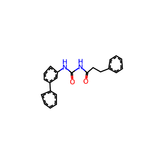 O=C(CCc1ccccc1)NC(=O)Nc1cccc(-c2ccccc2)c1